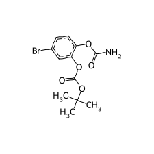 CC(C)(C)OC(=O)Oc1cc(Br)ccc1OC(N)=O